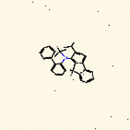 CC(C)c1ccc2c(c1N(c1ccccc1-c1ccccc1)C(C)(C)C)C(C)(C)c1ccccc1-2